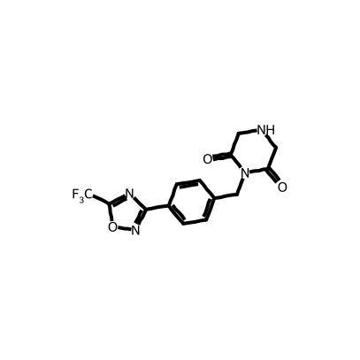 O=C1CNCC(=O)N1Cc1ccc(-c2noc(C(F)(F)F)n2)cc1